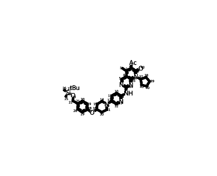 CC(=O)c1c(C)c2cnc(Nc3ccc(N4CCC(Oc5ccc(CO[Si](C)(C)C(C)(C)C)cc5)CC4)cn3)nc2n(C2CCCC2)c1=O